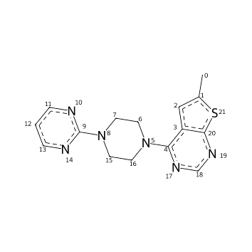 Cc1cc2c(N3CCN(c4ncccn4)CC3)ncnc2s1